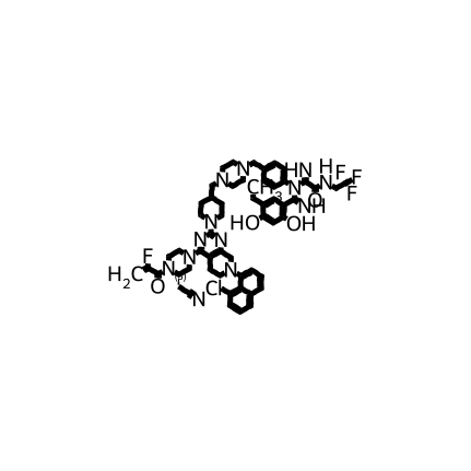 C=C(F)C(=O)N1CCN(c2nc(N3CCC(CN4CCN(Cc5ccc(N(C(=N)C(=O)NCC(F)(F)F)C(=N)c6cc(CC)c(O)cc6O)cc5)CC4)CC3)nc3c2CCN(c2cccc4cccc(Cl)c24)C3)C[C@@H]1CC#N